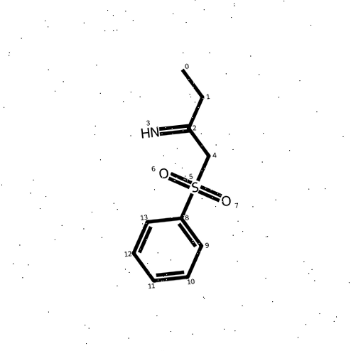 CCC(=N)CS(=O)(=O)c1ccccc1